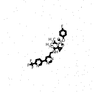 CC(C)N(C1(C(=O)NCc2cc(-c3ccc(C(F)(F)F)nc3)ncn2)CC1)S(=O)(=O)Oc1ccc(F)cc1